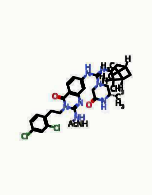 CC(=O)NNc1nc2cc(N/C(=N/C3C[C@@H]4C[C@H]([C@@H]3C)C4(C)C)N3CC(=O)N[C@@H](C)C3)ccc2c(=O)n1CCc1ccc(Cl)cc1Cl